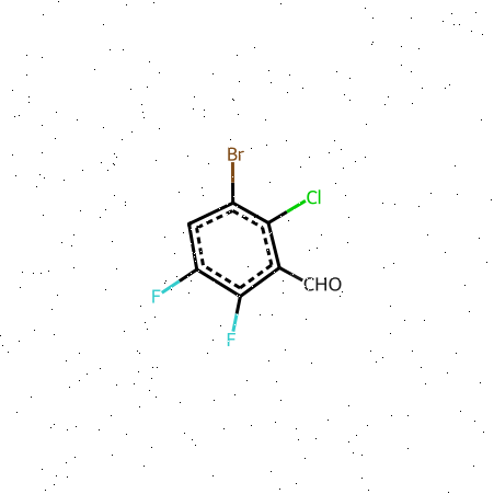 O=Cc1c(F)c(F)cc(Br)c1Cl